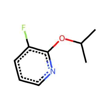 CC(C)Oc1ncccc1F